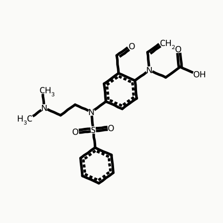 C=CN(CC(=O)O)c1ccc(N(CCN(C)C)S(=O)(=O)c2ccccc2)cc1C=O